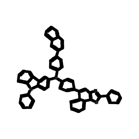 c1ccc(-c2nc3cc(-c4ccc(N(c5ccc(-c6ccc7ccccc7c6)cc5)c5ccc6c(c5)c5ccccc5n6-c5ccccc5)cc4)c4ccccc4c3o2)cc1